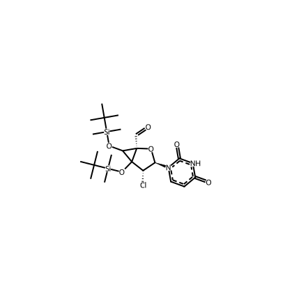 CC(C)(C)[Si](C)(C)OC1C2(O[Si](C)(C)C(C)(C)C)[C@@H](Cl)[C@H](n3ccc(=O)[nH]c3=O)O[C@]12C=O